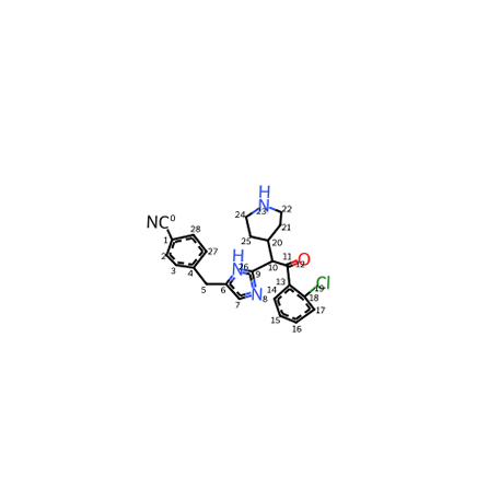 N#Cc1ccc(Cc2cnc(C(C(=O)c3ccccc3Cl)C3CCNCC3)[nH]2)cc1